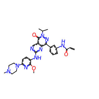 C=CC(=O)Nc1cccc(-c2nn(C(C)C)c(=O)c3cnc(Nc4ccc(N5CCN(C)CC5)nc4OC)nc23)c1